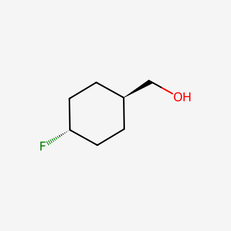 OC[C@H]1CC[C@H](F)CC1